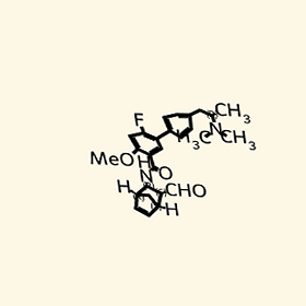 COc1cc(F)c(-c2ccc(C[C@@H](C)N(C)C)cc2)cc1C(=O)N[C@H]1[C@@H](C=O)[C@@H]2C=C[C@H]1C2